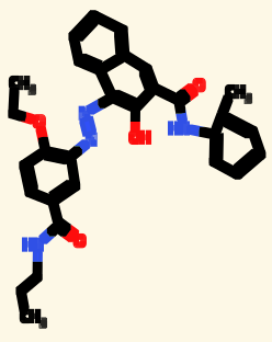 CCCNC(=O)c1ccc(OCC)c(/N=N/c2c(O)c(C(=O)Nc3ccccc3C)cc3ccccc23)c1